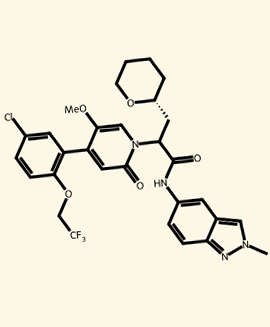 COc1cn(C(C[C@H]2CCCCO2)C(=O)Nc2ccc3nn(C)cc3c2)c(=O)cc1-c1cc(Cl)ccc1OCC(F)(F)F